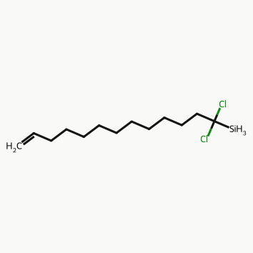 C=CCCCCCCCCCCC([SiH3])(Cl)Cl